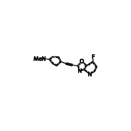 CNc1ccc(C#Cc2nc3nccc(F)c3o2)cc1